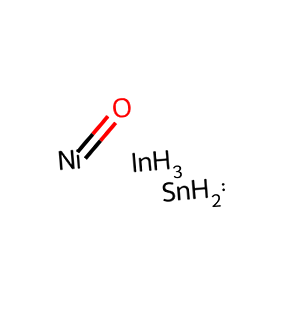 [InH3].[O]=[Ni].[SnH2]